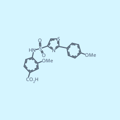 COc1ccc(-c2nc(S(=O)(=O)Nc3ccc(C(=O)O)cc3OC)cs2)cc1